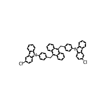 Clc1ccc2c(c1)c1ccccc1n2-c1ccc(Cc2c3ccccc3c(Cc3ccc(-n4c5ccccc5c5cc(Cl)ccc54)cc3)c3ccccc23)cc1